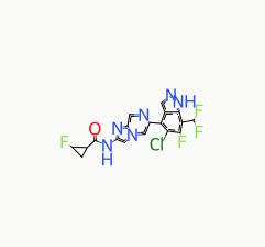 O=C(Nc1cn2cc(-c3c(Cl)c(F)c(C(F)F)c4[nH]ncc34)ncc2n1)C1CC1F